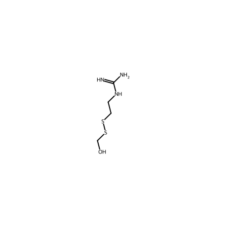 N=C(N)NCCSSCO